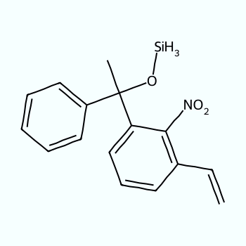 C=Cc1cccc(C(C)(O[SiH3])c2ccccc2)c1[N+](=O)[O-]